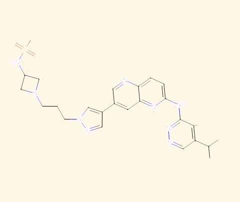 CC(C)c1cnnc(Nc2ccc3ncc(-c4cnn(CCCN5CC(NS(C)(=O)=O)C5)c4)cc3n2)c1